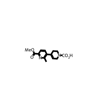 COC(=O)c1ccc(C2=CCN(C(=O)O)CC2)c(C)n1